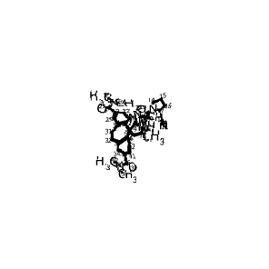 Cc1nnc(C2(C[C@H](C)NCC(=O)N3CCC[C@H]3C#N)c3ccc(C(=O)N(C)C)cc3CCc3cc(C(=O)N(C)C)ccc32)[nH]1